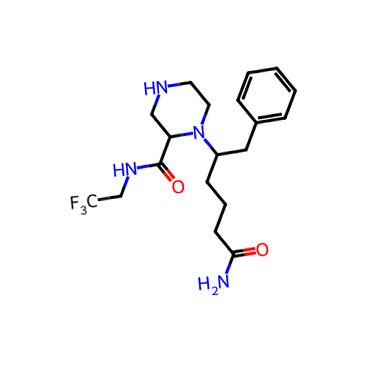 NC(=O)CCCC(Cc1ccccc1)N1CCNCC1C(=O)NCC(F)(F)F